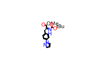 COC(=O)[C@H](Cc1ccc(-n2cccn2)cc1)NC(=O)OC(C)(C)C